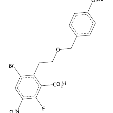 COc1ccc(COCCc2c(Br)cc([N+](=O)[O-])c(F)c2C(=O)O)cc1